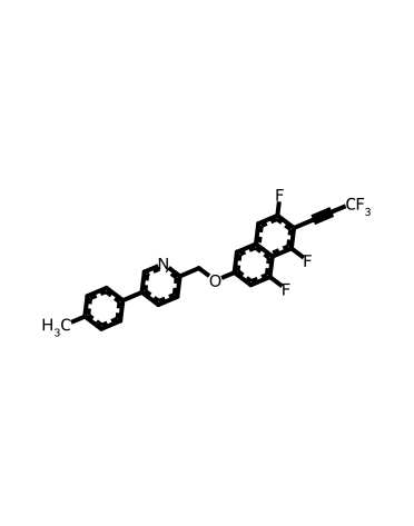 Cc1ccc(-c2ccc(COc3cc(F)c4c(F)c(C#CC(F)(F)F)c(F)cc4c3)nc2)cc1